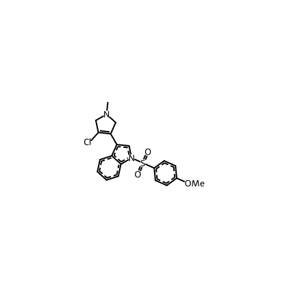 COc1ccc(S(=O)(=O)n2cc(C3=C(Cl)CN(C)C3)c3ccccc32)cc1